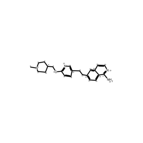 CN1CCC(COc2ccc(CCc3ccc4c(N)nccc4c3)cn2)CC1